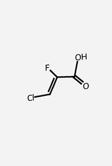 O=C(O)/C(F)=C/Cl